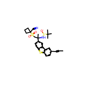 CC#Cc1ccc2sc3ccc(C(C)(CS(=O)(=O)C4(C#N)CCC4)N[S+]([O-])C(C)(C)C)cc3c2c1